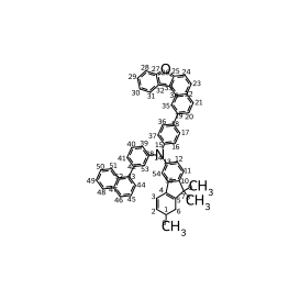 CC1C=CC2=C(C1)C(C)(C)c1ccc(N(c3ccc(-c4ccc5ccc6oc7ccccc7c6c5c4)cc3)c3cccc(-c4cccc5ccccc45)c3)cc12